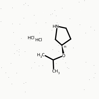 CC(C)O[C@@H]1CCNC1.Cl.Cl